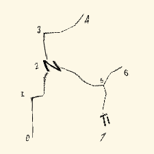 CCN(CC)[CH](C)[Ti]